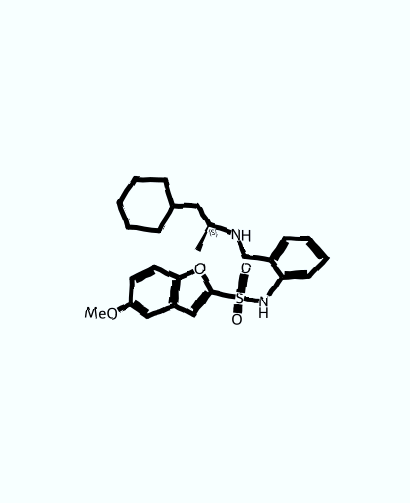 COc1ccc2oc(S(=O)(=O)Nc3ccccc3CN[C@@H](C)CC3CCCCC3)cc2c1